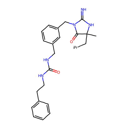 CC(C)CC1(C)NC(=N)N(Cc2cccc(CNC(=O)NCCc3ccccc3)c2)C1=O